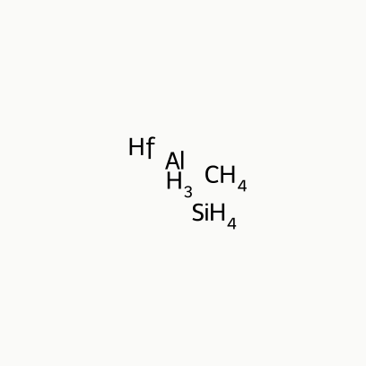 C.[AlH3].[Hf].[SiH4]